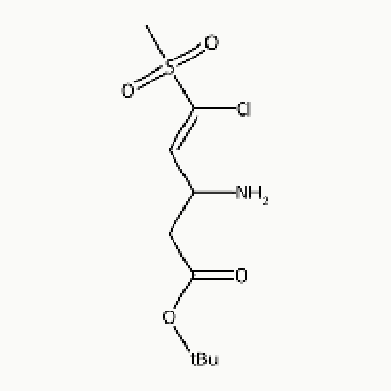 CC(C)(C)OC(=O)CC(N)/C=C(\Cl)S(C)(=O)=O